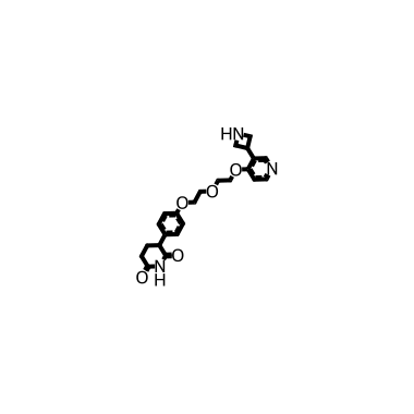 O=C1CCC(c2ccc(OCCOCCOc3ccncc3C3CNC3)cc2)C(=O)N1